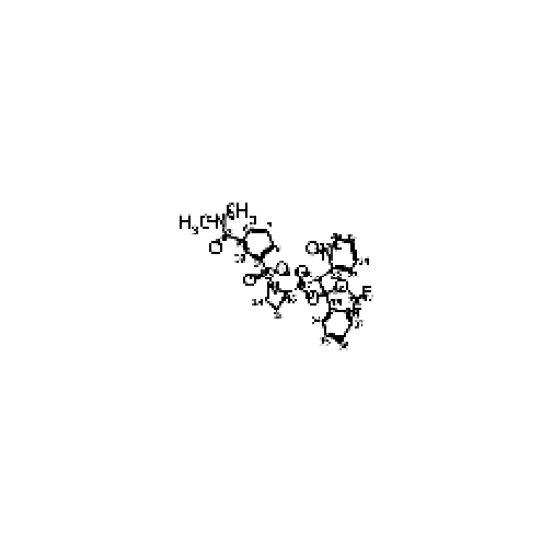 CN(C)C(=O)c1cccc(S(=O)(=O)N2CC[C@H]2C(=O)OC(Cc2cccc[n+]2[O-])(OC(F)F)c2ccccc2)c1